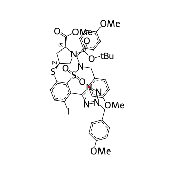 COC(=O)[C@@H]1C[C@H](Sc2ccc(I)c(-c3nnn(Cc4ccc(OC)cc4)n3)c2S(=O)(=O)N(Cc2ccc(OC)cc2)Cc2ccc(OC)cc2)CN1C(=O)OC(C)(C)C